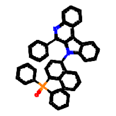 O=P(c1ccccc1)(c1ccccc1)c1ccc(-n2c3ccccc3c3c4ccccc4nc(-c4ccccc4)c32)c2ccccc12